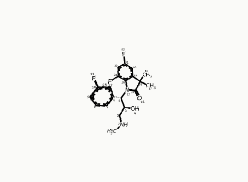 CNC[C@H](O)[C@H](c1cccc(F)c1)N1C(=O)C(C)(C)c2cc(F)cc(F)c21